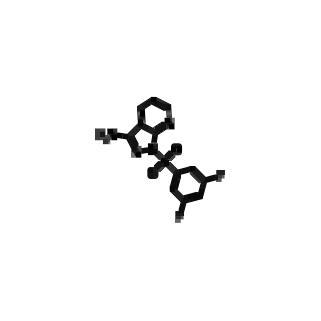 Nc1nn(S(=O)(=O)c2cc(F)cc(F)c2)c2ncccc12